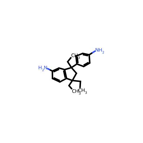 CCC1(CC)CC(CC)(c2ccc(N)cc2)c2cc(N)ccc21